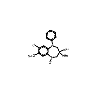 CCCCC1(CCCC)CN(c2ccccc2)c2cc(Cl)c(OC)cc2[S+]([O-])C1